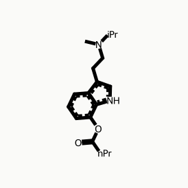 CCCC(=O)Oc1cccc2c(CCN(C)C(C)C)c[nH]c12